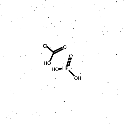 O=C(O)Cl.O=[PH](O)O